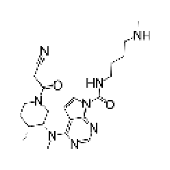 CNCCCCNC(=O)n1ccc2c(N(C)[C@H]3CN(C(=O)CC#N)CC[C@H]3C)ncnc21